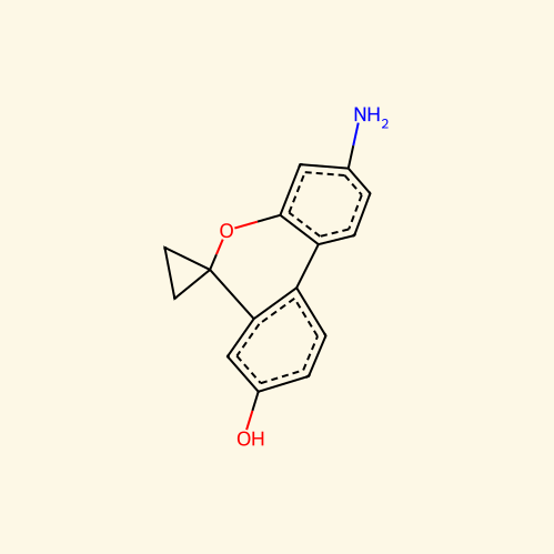 Nc1ccc2c(c1)OC1(CC1)c1cc(O)ccc1-2